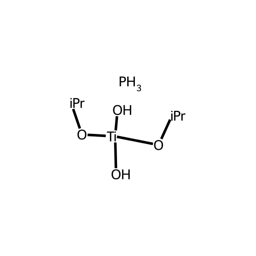 CC(C)[O][Ti]([OH])([OH])[O]C(C)C.P